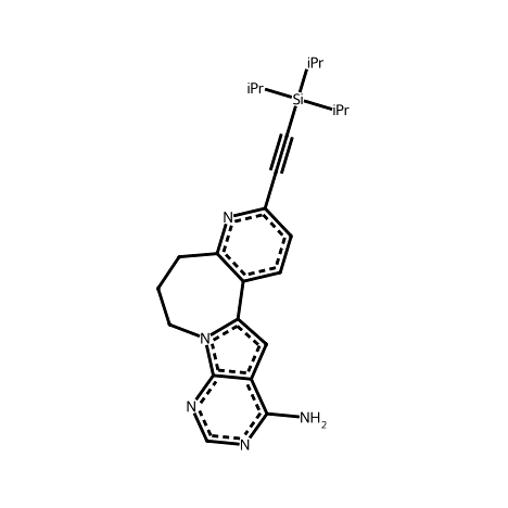 CC(C)[Si](C#Cc1ccc2c(n1)CCCn1c-2cc2c(N)ncnc21)(C(C)C)C(C)C